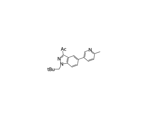 CC(=O)c1nn(CC(C)(C)C)c2ccc(-c3ccc(C)nc3)cc12